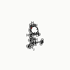 COc1cc2cc(c1Cl)N(C)C(=O)C[C@H](OC(=O)Nc1ccc(NC(=O)[C@H](CCCNC(N)=O)NC(=O)[C@@H](NC(=S)NCCCCN3C(=O)C=CC3=O)C(C)C)c(Br)c1)[C@]1(C)O[C@H]1[C@H](C)[C@@H]1C[C@@](O)(NC(=O)O1)[C@H](OC)/C=C/C=C(\C)C2